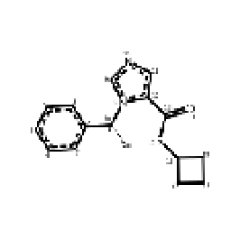 C[C@H](c1ccccc1)n1cncc1C(=O)SC1CCC1